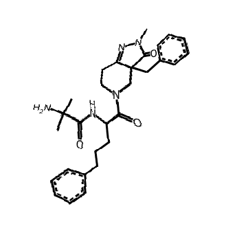 CN1N=C2CCN(C(=O)C(CCCc3ccccc3)NC(=O)C(C)(C)N)CC2(Cc2ccccc2)C1=O